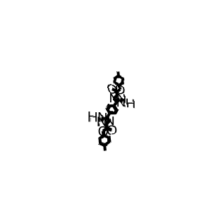 CC1CCC(OC(=O)c2n[nH]c(-c3ccc(-c4nc(C(=O)OC5CCC(C)CC5)n[nH]4)cc3)n2)CC1